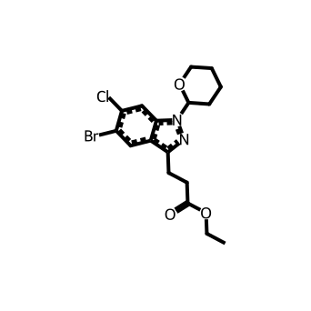 CCOC(=O)CCc1nn(C2CCCCO2)c2cc(Cl)c(Br)cc12